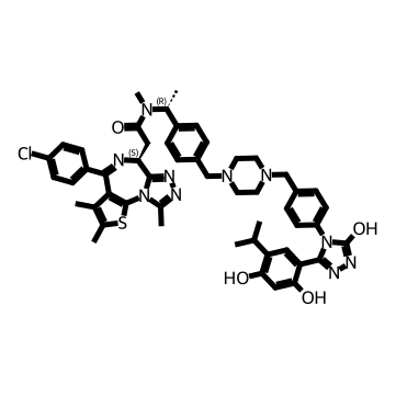 Cc1sc2c(c1C)C(c1ccc(Cl)cc1)=N[C@@H](CC(=O)N(C)[C@H](C)c1ccc(CN3CCN(Cc4ccc(-n5c(O)nnc5-c5cc(C(C)C)c(O)cc5O)cc4)CC3)cc1)c1nnc(C)n1-2